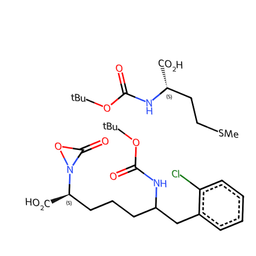 CC(C)(C)OC(=O)NC(CCC[C@@H](C(=O)O)N1OC1=O)Cc1ccccc1Cl.CSCC[C@H](NC(=O)OC(C)(C)C)C(=O)O